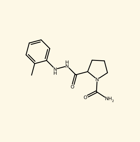 Cc1ccccc1NNC(=O)C1CCCN1C(N)=O